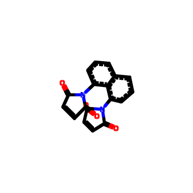 O=C1C=CC(=O)N1c1cccc2cccc(N3C(=O)C=CC3=O)c12